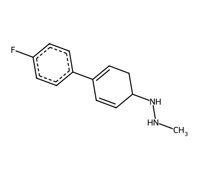 CNNC1C=CC(c2ccc(F)cc2)=CC1